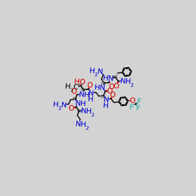 C[C@@H](O)[C@H](NC(=O)[C@H](CCN)NC(=O)[C@@H](N)CCN)C(=O)NCC[C@H](NC(=O)Cc1ccc(OC(F)(F)F)cc1)C(=O)N[C@@H](CCN)C(=O)N[C@H](Cc1ccccc1)C(N)=O